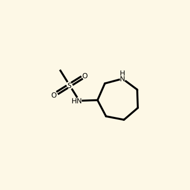 CS(=O)(=O)NC1CCCCNC1